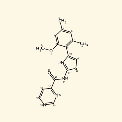 COc1cc(C)cc(C)c1-c1csc(NC(=O)c2ccncn2)n1